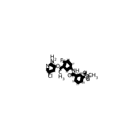 C[C@@H](Oc1cc(Cl)cnc1N)c1cc(NC(=O)c2cccc(S(C)(=O)=O)c2)ccc1F